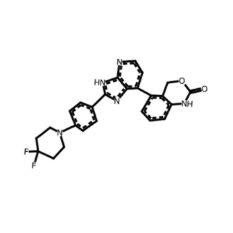 O=C1Nc2cccc(-c3ccnc4[nH]c(-c5ccc(N6CCC(F)(F)CC6)cc5)nc34)c2CO1